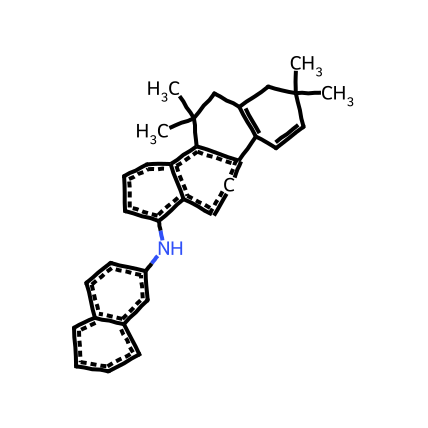 CC1(C)C=CC2=C(C1)CC(C)(C)c1c2ccc2c(Nc3ccc4ccccc4c3)cccc12